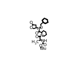 CC(NC(=O)OC(C)(C)C)C(=O)N1CCCCC1C(=O)N(OCc1ccccc1)C1COC(=O)C1